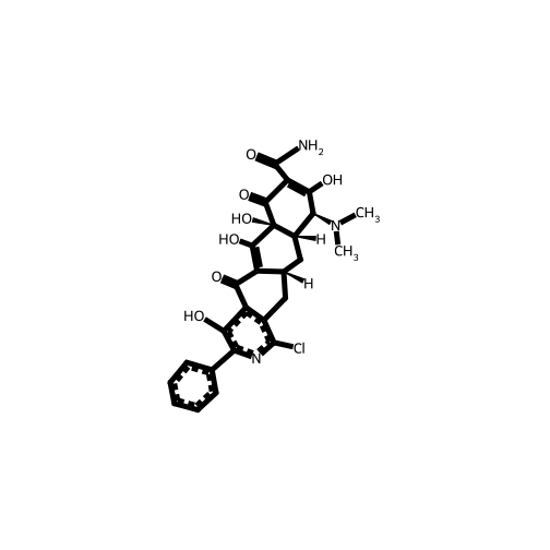 CN(C)[C@@H]1C(O)=C(C(N)=O)C(=O)[C@@]2(O)C(O)=C3C(=O)c4c(O)c(-c5ccccc5)nc(Cl)c4C[C@H]3C[C@@H]12